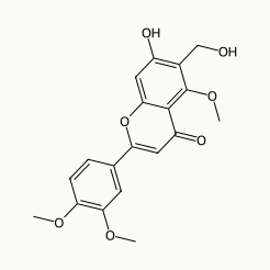 COc1ccc(-c2cc(=O)c3c(OC)c(CO)c(O)cc3o2)cc1OC